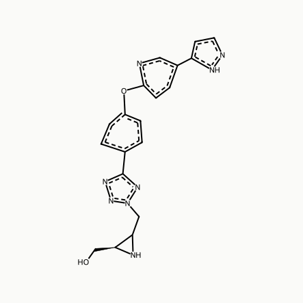 OC[C@@H]1NC1Cn1nnc(-c2ccc(Oc3ccc(-c4ccn[nH]4)cn3)cc2)n1